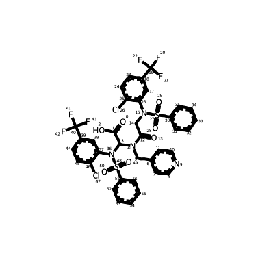 O=C(O)C(N(Cc1ccncc1)C(=O)CN(c1cc(C(F)(F)F)ccc1Cl)S(=O)(=O)c1ccccc1)N(c1cc(C(F)(F)F)ccc1Cl)S(=O)(=O)c1ccccc1